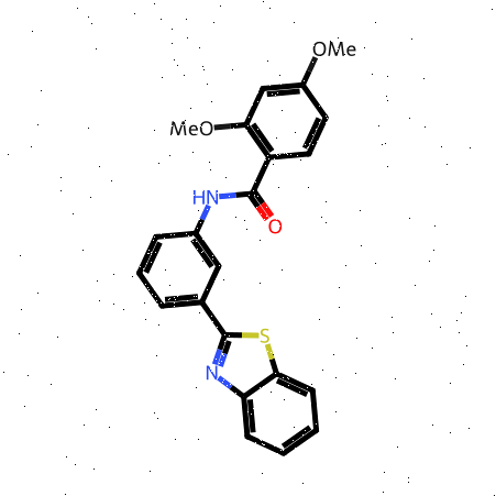 COc1ccc(C(=O)Nc2cccc(-c3nc4ccccc4s3)c2)c(OC)c1